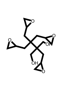 OCC(CO)(CC1CO1)C(CC1CO1)(CC1CO1)CC1CO1